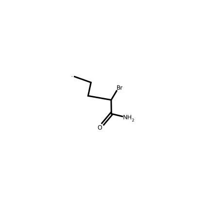 [CH2]CCC(Br)C(N)=O